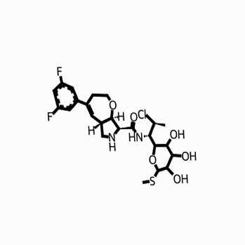 CSC1OC([C@H](NC(=O)[C@H]2NC[C@@H]3C=C(c4cc(F)cc(F)c4)CCO[C@@H]23)[C@H](C)Cl)C(O)C(O)C1O